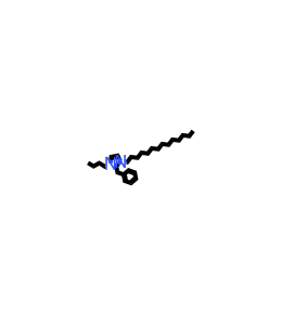 CCCCCCCCCCCCCCN1C=CN(CCCC)C1Cc1ccccc1